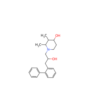 CC1C(O)CCN(CC(O)Cc2ccccc2-c2ccccc2)C1C